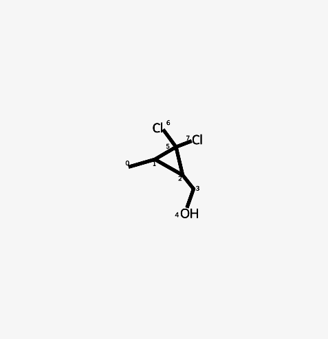 CC1C(CO)C1(Cl)Cl